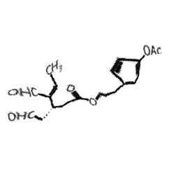 CC=C(C=O)[C@@H](CC=O)CC(=O)OCCc1ccc(OC(C)=O)cc1